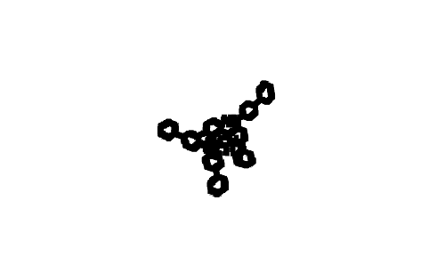 C[Si]1(C)c2c(-c3cc(-c4ccccc4)ccc3Nc3ccc(-c4ccccc4)cc3)cccc2-c2cc(-c3ccccc3)ccc2N1c1ccc(-c2ccccc2)cc1